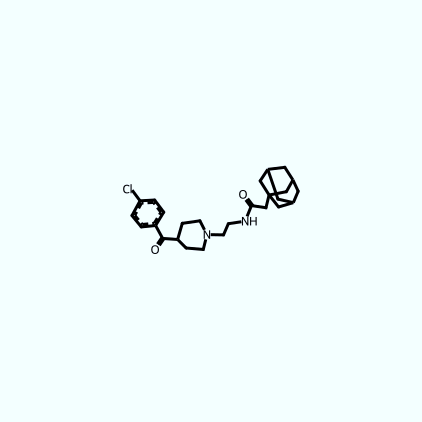 O=C(CC12CC3CC(CC(C3)C1)C2)NCCN1CCC(C(=O)c2ccc(Cl)cc2)CC1